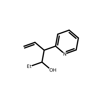 C=CC(c1ccccn1)C(O)CC